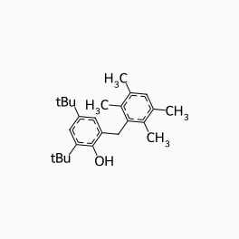 Cc1cc(C)c(C)c(Cc2cc(C(C)(C)C)cc(C(C)(C)C)c2O)c1C